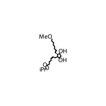 COCCCCCC/C=C/[C@@H]1C(C/C=C\CCCC(=O)OC(C)C)[C@@H](O)C[C@H]1O